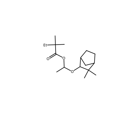 CCC(C)(C)C(=O)OC(C)OC1C2CCC(C2)C1(C)C